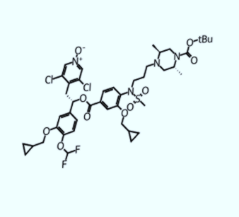 C[C@@H]1CN(CCCN(c2ccc(C(=O)O[C@@H](Cc3c(Cl)c[n+]([O-])cc3Cl)c3ccc(OC(F)F)c(OCC4CC4)c3)cc2OCC2CC2)S(C)(=O)=O)[C@@H](C)CN1C(=O)OC(C)(C)C